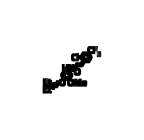 CCN(CC)CCOc1ccc(NC(=O)C=Cc2ccc(C(F)(F)F)cc2Cl)cc1OC